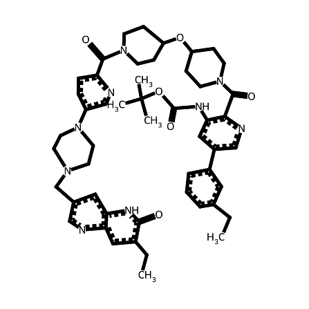 CCc1cccc(-c2cnc(C(=O)N3CCC(OC4CCN(C(=O)c5ccc(N6CCN(Cc7cnc8cc(CC)c(=O)[nH]c8c7)CC6)cn5)CC4)CC3)c(NC(=O)OC(C)(C)C)c2)c1